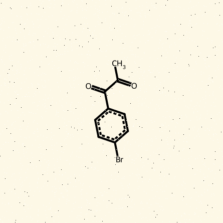 CC(=O)C(=O)c1ccc(Br)cc1